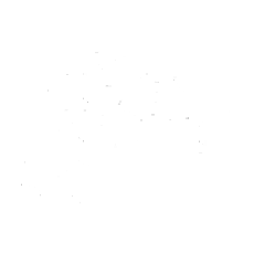 CN(C(=O)c1c(F)cccc1Cl)c1ccc(-c2cc(C(N)=O)ccc2Cl)cc1N1CCC[C@@H]1C(F)(F)F